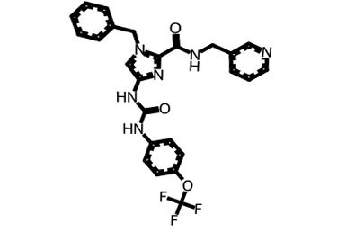 O=C(Nc1ccc(OC(F)(F)F)cc1)Nc1cn(Cc2ccccc2)c(C(=O)NCc2cccnc2)n1